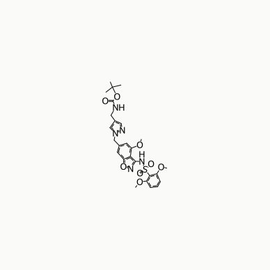 COc1cccc(OC)c1S(=O)(=O)Nc1noc2cc(Cn3cc(CNC(=O)OC(C)(C)C)cn3)cc(OC)c12